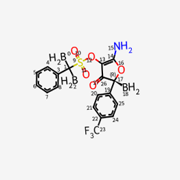 BC(B)(c1ccccc1)S(=O)(=O)OC1=C(N)O[C@](B)(c2ccc(C(F)(F)F)cc2)C1=O